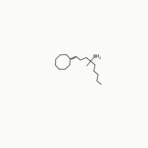 BC(C)(CCC=C1CCCCCCC1)CCCCC